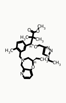 CC[C@@H]1CN(Cc2cc([C@@H](OCc3cn(CC)nn3)C(C)(C)C(=O)OC)ccc2C)Cc2ncccc2O1